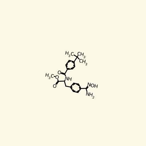 COC(=O)C(Cc1ccc(C(N)=NO)cc1)NC(=O)c1ccc(C(C)(C)C)cc1